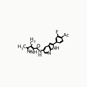 CC(=O)c1ccc(-c2cc3cc(NC(=O)c4[nH]nc(C)c4C)cnc3[nH]2)cc1F